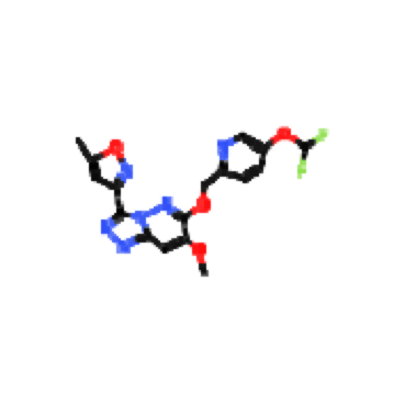 COc1cc2nnc(-c3cc(C)on3)n2nc1OCc1ccc(OC(F)F)cn1